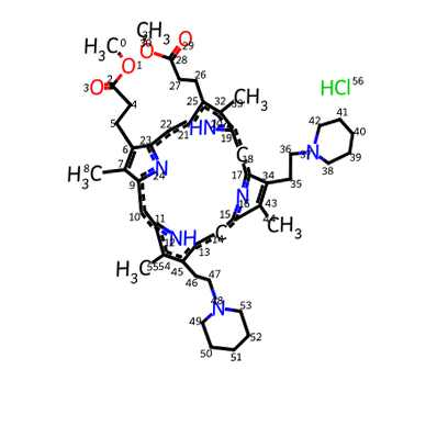 COC(=O)CCC1=C(C)c2cc3[nH]c(cc4nc(cc5[nH]c(cc1n2)c(CCC(=O)OC)c5C)C(CCN1CCCCC1)=C4C)c(CCN1CCCCC1)c3C.Cl